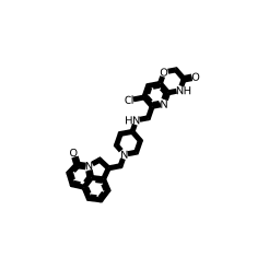 O=C1COc2cc(Cl)c(CNC3CCN(CC4Cn5c(=O)ccc6cccc4c65)CC3)nc2N1